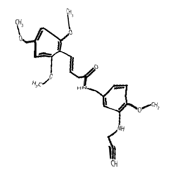 C#CCNc1cc(NC(=O)C=Cc2c(OC)cc(OC)cc2OC)ccc1OC